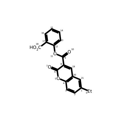 CCc1ccc2oc(=O)c(C(=O)Oc3ccccc3C(=O)O)cc2c1